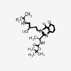 CC(C)NCC(O)CCn1c([C@H](C)NC(=O)OC(C)(C)C)nc2cccc(Cl)c2c1=O